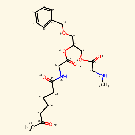 CNCC(=O)OCC(COCc1ccccc1)OC(=O)CNC(=O)CCCCC(C)=O